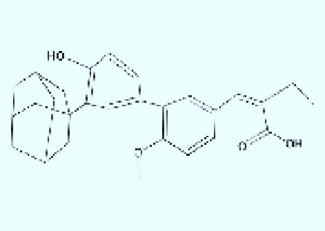 CCC(=Cc1ccc(OC)c(-c2ccc(O)c(C34CC5CC(CC(C5)C3)C4)c2)c1)C(=O)O